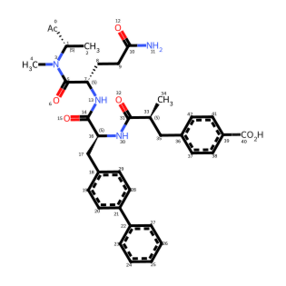 CC(=O)[C@H](C)N(C)C(=O)[C@H](CCC(N)=O)NC(=O)[C@H](Cc1ccc(-c2ccccc2)cc1)NC(=O)[C@@H](C)Cc1ccc(C(=O)O)cc1